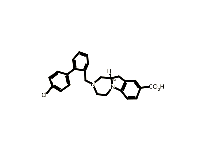 O=C(O)c1ccc2c(c1)C[C@H]1CN(Cc3ccccc3-c3ccc(Cl)cc3)CCN21